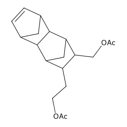 CC(=O)OCCC1C(COC(C)=O)C2CC1C1C3C=CC(C3)C21